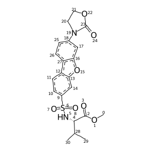 COC(=O)[C@@H](NS(=O)(=O)c1ccc2c(c1)oc1cc(N3CCOC3=O)ccc12)C(C)C